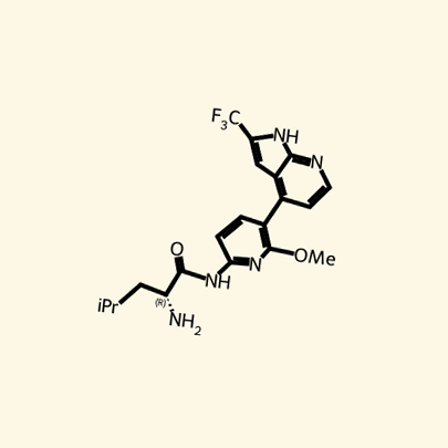 COc1nc(NC(=O)[C@H](N)CC(C)C)ccc1-c1ccnc2[nH]c(C(F)(F)F)cc12